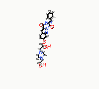 O=c1[nH]/c(=C\c2ccc(OCC(O)CN3CCN(CCO)CC3)cc2)c(=O)[nH]/c1=C\c1ccccc1